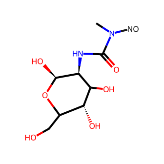 CN(N=O)C(=O)N[C@H]1C(O)[C@H](O)C(CO)O[C@H]1O